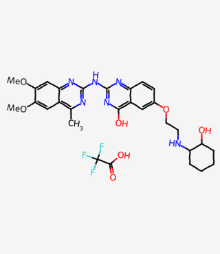 COc1cc2nc(Nc3nc(O)c4cc(OCCNC5CCCCC5O)ccc4n3)nc(C)c2cc1OC.O=C(O)C(F)(F)F